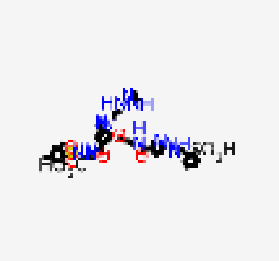 Cc1cc(C)c(S(=O)(=O)NC(CNC(=O)c2cc(OCCCNC(=O)c3ccc(N/N=C/c4ccccc4S(=O)(=O)O)nc3)c3c(cnn3CCCNc3ncc[nH]3)c2)C(=O)O)c(C)c1